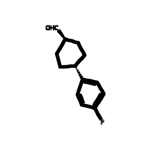 O=C[C@H]1CC[C@H](c2ccc(F)cc2)CC1